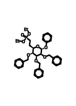 CCOP(=O)(CC[C@H]1O[C@H](Oc2ccccc2)[C@@H](OCc2ccccc2)[C@@H](OCc2ccccc2)[C@@H]1OCc1ccccc1)OCC